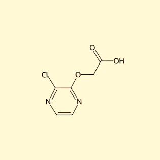 O=C(O)COc1nccnc1Cl